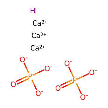 I.O=P([O-])([O-])[O-].O=P([O-])([O-])[O-].[Ca+2].[Ca+2].[Ca+2]